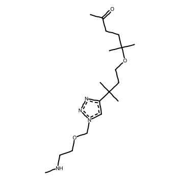 CNCCOCn1cc(C(C)(C)CCOC(C)(C)CCC(C)=O)nn1